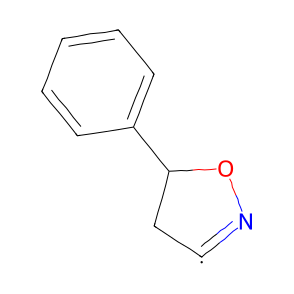 [C]1=NOC(c2ccccc2)C1